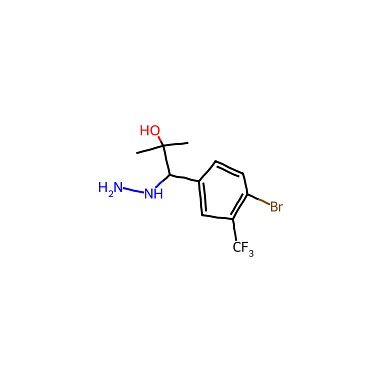 CC(C)(O)C(NN)c1ccc(Br)c(C(F)(F)F)c1